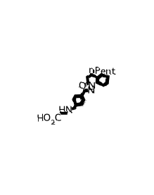 CCCCCC(Cc1nnc(-c2ccc(CNCCC(=O)O)cc2)o1)c1ccccc1